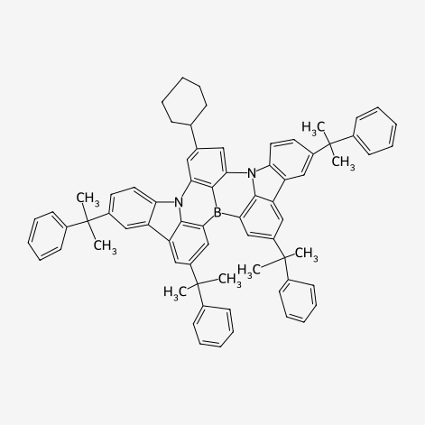 CC(C)(c1ccccc1)c1ccc2c(c1)c1cc(C(C)(C)c3ccccc3)cc3c1n2-c1cc(C2CCCCC2)cc2c1B3c1cc(C(C)(C)c3ccccc3)cc3c4cc(C(C)(C)c5ccccc5)ccc4n-2c13